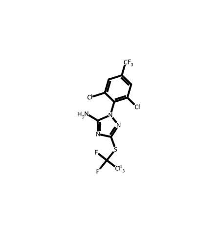 Nc1nc(SC(F)(F)C(F)(F)F)nn1-c1c(Cl)cc(C(F)(F)F)cc1Cl